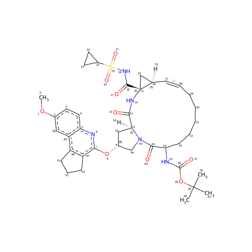 COc1ccc2nc(O[C@@H]3C[C@H]4C(=O)N[C@]5(C(=O)NS(=O)(=O)C6CC6)C[C@H]5/C=C\CCCCCC(NC(=O)OC(C)(C)C)C(=O)N4C3)c3c(c2c1)CCC3